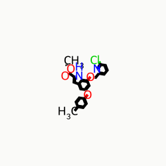 CCOC(=O)c1cc2cc(Oc3ccc(C)cc3)cc(OCc3cccc(Cl)n3)c2[nH]1